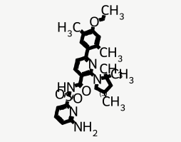 CCOc1cc(C)c(-c2ccc(C(=O)NS(=O)(=O)c3cccc(N)n3)c(N3C[C@@H](C)CC3(C)C)n2)cc1C